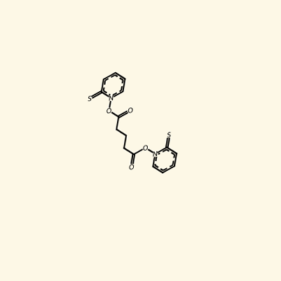 O=C(CCCC(=O)On1ccccc1=S)On1ccccc1=S